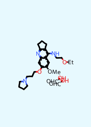 CCOCCNc1c2c(nc3cc(OCCCN4CCCC4)c(OC)cc13)CCC2.O=CO.O=CO